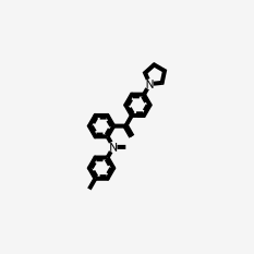 C=C(c1ccc(N2CCCC2)cc1)c1ccccc1N(C)c1ccc(C)cc1